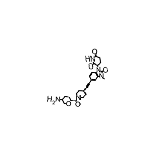 Cn1c(=O)n(C2CCC(=O)NC2=O)c2ccc(C#CC3CCN(C(=O)C4CCC(N)CO4)CC3)cc21